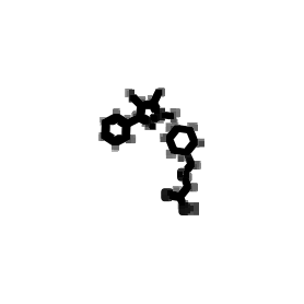 Cc1c(I)c(-c2ccccc2)nn1C[C@H]1CC[C@H](COCC(=O)O)CC1